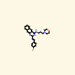 Fc1ccc(/C=C/c2nc(NCCCN3CCOCC3)c3cc4ccccc4cc3n2)cc1